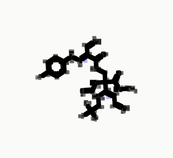 CNC(=O)C(CNC(=O)/C(C=N)=N/Nc1ccc(F)cc1)(NC=O)/C(=C/C=N)NCC(F)(F)F